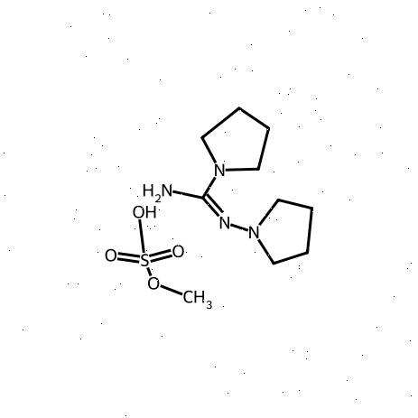 COS(=O)(=O)O.NC(=NN1CCCC1)N1CCCC1